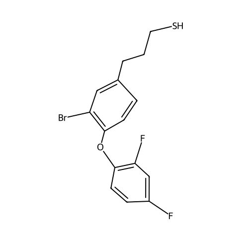 Fc1ccc(Oc2ccc(CCCS)cc2Br)c(F)c1